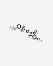 CC(C)S(=O)(=O)c1cc(C(F)(F)F)cnc1C(=O)N[C@H]1C[C@@H](C(C)(C)S(=O)(=O)c2cccc(OC(F)(F)F)c2)C1